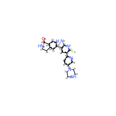 Nc1nc(F)c(-c2ccc(N3CCNCC3)cn2)cc1-c1ccc2c(c1)CCNC2=O